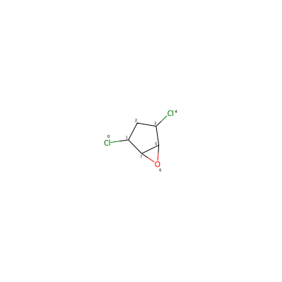 ClC1CC(Cl)C2OC12